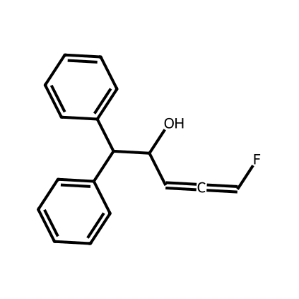 OC(C=C=CF)C(c1ccccc1)c1ccccc1